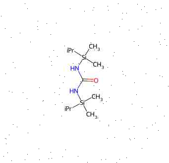 CC(C)[Si](C)(C)NC(=O)N[Si](C)(C)C(C)C